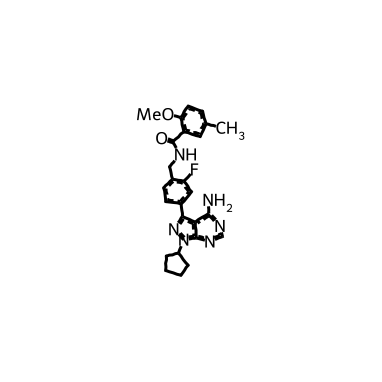 COc1ccc(C)cc1C(=O)NCc1ccc(-c2nn(C3CCCC3)c3ncnc(N)c23)cc1F